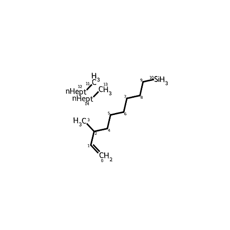 C=CC(C)CCCCCC[SiH3].CCCCCCCC.CCCCCCCC